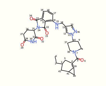 CCC1CC(C(=O)N2CCC(n3cc(CNc4cccc5c4C(=O)N(C4CCC(=O)NC4=O)C5=O)cn3)CC2)=C2CC2C1